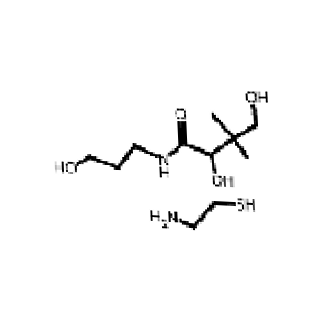 CC(C)(CO)C(O)C(=O)NCCCO.NCCS